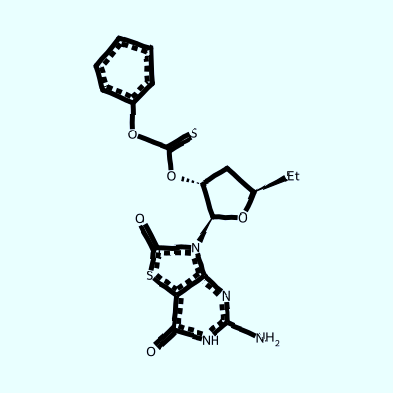 CC[C@@H]1C[C@@H](OC(=S)Oc2ccccc2)[C@H](n2c(=O)sc3c(=O)[nH]c(N)nc32)O1